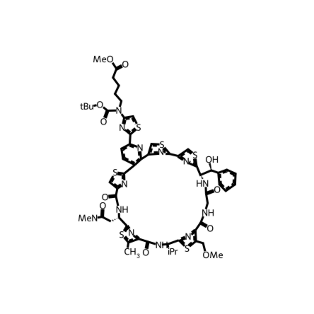 CNC(=O)C[C@@H]1NC(=O)c2csc(n2)-c2ccc(-c3nc(N(CCCCC(=O)OC)C(=O)OC(C)(C)C)cs3)nc2-c2csc(n2)-c2csc(n2)[C@H]([C@@H](O)c2ccccc2)NC(=O)CNC(=O)c2nc(sc2COC)C(C(C)C)NC(=O)c2nc1sc2C